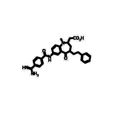 CN1c2ccc(NC(=O)c3ccc(C(=N)N)cc3)cc2C(=O)C(CCc2ccccc2)CC1CC(=O)O